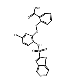 COC(=O)c1ccccc1CSc1cc(Cl)ccc1NS(=O)(=O)c1cc2ccccc2o1